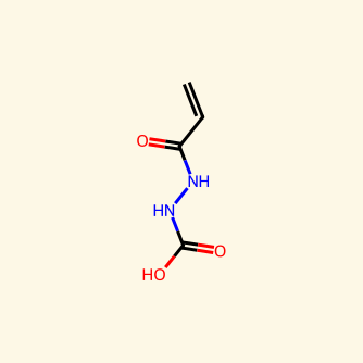 C=CC(=O)NNC(=O)O